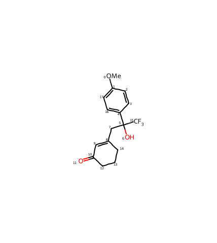 COc1ccc(C(O)(CC2=CC(=O)CCC2)C(F)(F)F)cc1